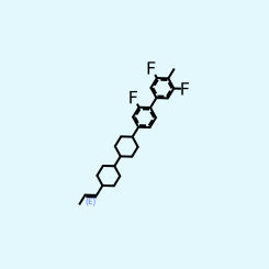 C/C=C/C1CCC(C2CCC(c3ccc(-c4cc(F)c(C)c(F)c4)c(F)c3)CC2)CC1